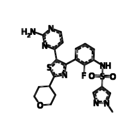 Cn1cc(S(=O)(=O)Nc2cccc(-c3nc(C4CCOCC4)sc3-c3ccnc(N)n3)c2F)cn1